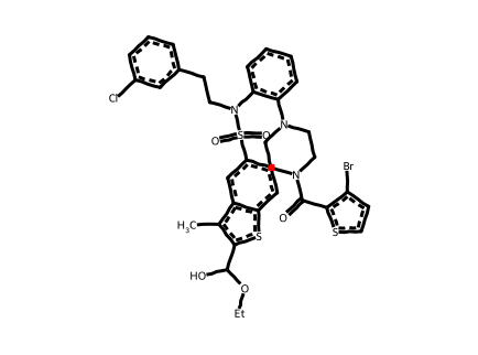 CCOC(O)c1sc2ccc(S(=O)(=O)N(CCc3cccc(Cl)c3)c3ccccc3N3CCN(C(=O)c4sccc4Br)CC3)cc2c1C